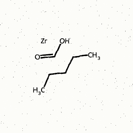 CCCCC.O=CO.[Zr]